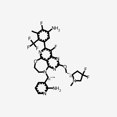 Cc1c(F)c(N)cc(-c2nc3c4c(nc(OC[C@@H]5CC(F)(F)CN5C)nc4c2F)N([C@H](C)c2cccnc2N)CCO3)c1C(F)(F)F